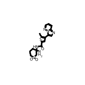 Cc1sc(C(=O)NC2(N)CCCS(=O)(=O)C2)cc1-c1cnc2cccnn12